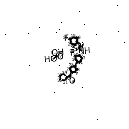 O=C(O)O.O=C(c1ccc(-c2ccc(Nc3nc4ccc(F)cc4s3)c(F)c2)cc1)C1CCCC1